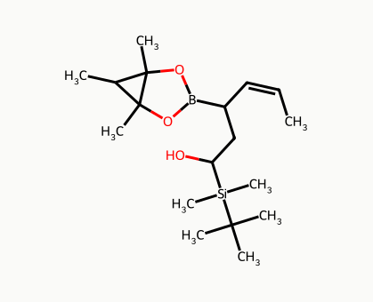 C/C=C\C(CC(O)[Si](C)(C)C(C)(C)C)B1OC2(C)C(C)C2(C)O1